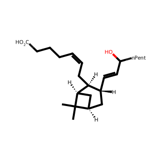 CCCCCC(O)/C=C/[C@@H]1C[C@@H]2C[C@H]([C@H]1C/C=C\CCCC(=O)O)C2(C)C